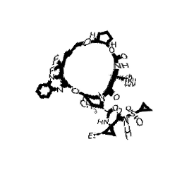 CC[C@@H]1C[C@]1(NC(=O)[C@@H]1C[C@]2(C)CN1C(=O)[C@H](C(C)(C)C)NC(=O)O[C@@H]1CCC[C@H]1OC/C=C/C(F)(F)c1nc3ccccc3nc1O2)C(=O)NS(=O)(=O)C1CC1